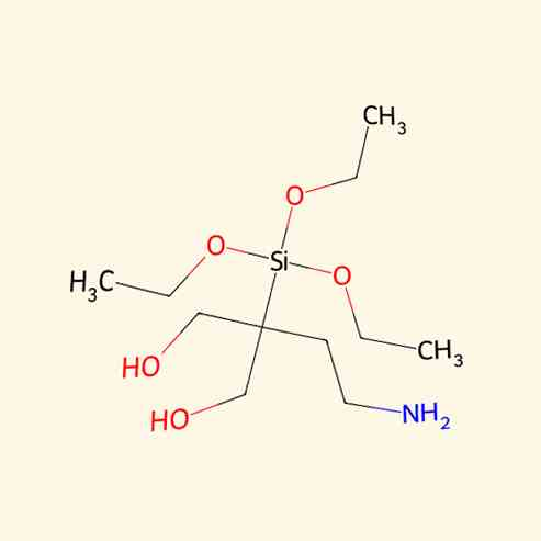 CCO[Si](OCC)(OCC)C(CO)(CO)CCN